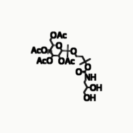 CC(=O)OCC1OC(C(C)(C)OCCC(C)(C)OC(=O)NCC(O)CO)C(OC(C)=O)C(OC(C)=O)[C@@H]1OC(C)=O